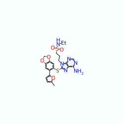 CCNS(=O)(=O)CCCn1c(Sc2cc3c(cc2-c2ccc(C)o2)OCO3)nc2c(N)ncnc21